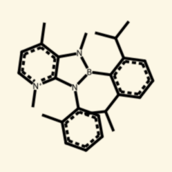 Cc1ccccc1N1B(c2c(C(C)C)cccc2C(C)C)N(C)c2c(C)cc[n+](C)c21